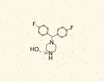 OC[C@@H]1CN(C(c2ccc(F)cc2)c2ccc(F)cc2)CCN1